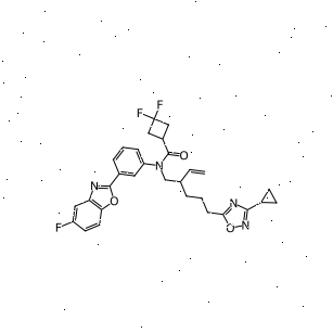 C=CC(CCCc1nc(C2CC2)no1)CN(C(=O)C1CC(F)(F)C1)c1cccc(-c2nc3cc(F)ccc3o2)c1